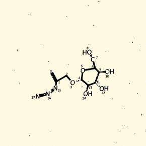 C=C(CO[C@@H]1OC(CO)[C@@H](O)[C@H](O)C1O)N=[N+]=[N-]